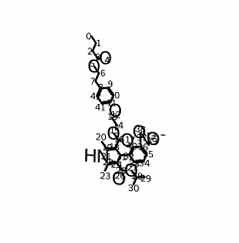 CCCC(=O)OCCc1ccc(OCCOC(=O)C2=C(C)NC(C)=C(C(=O)OC(C)C)C2c2cccc([N+](=O)[O-])c2)cc1